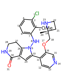 COc1c(Cl)cccc1Nn1c(-c2ccncc2OC[C@@]2(C)CCN2)cc2c1CCNC2=O